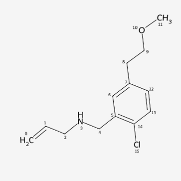 C=CCNCc1cc(CCOC)ccc1Cl